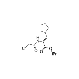 CC(C)OC(=O)C(=CC1CCCC1)NC(=O)CCl